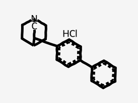 Cl.c1ccc(-c2ccc(C3CN4CCC3CC4)cc2)cc1